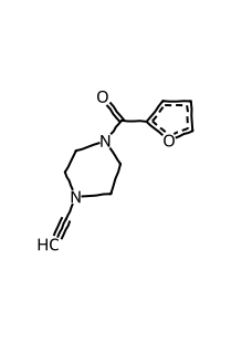 C#CN1CCN(C(=O)c2ccco2)CC1